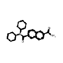 NC(=O)c1ccc2cc(C(=O)N(C3CCCCC3)C3CCCCC3)ccc2c1